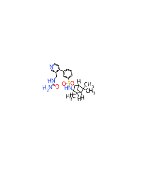 C[C@@H]1[C@@H](NS(=O)(=O)c2cccc(-c3ccncc3CNC(N)=O)c2)C[C@H]2C[C@@H]1C2(C)C